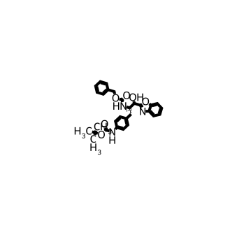 CC(C)(C)OC(=O)Nc1ccc(C[C@H](NC(=O)OCc2ccccc2)C(O)c2nc3ccccc3o2)cc1